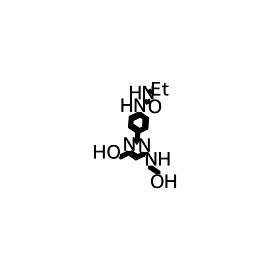 CCNC(=O)Nc1ccc(-c2nc(CO)cc(NCCO)n2)cc1